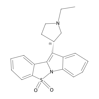 CCN1CC[C@@H](c2c3n(c4ccccc24)S(=O)(=O)c2ccccc2-3)C1